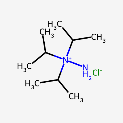 CC(C)[N+](N)(C(C)C)C(C)C.[Cl-]